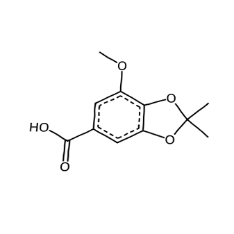 COc1cc(C(=O)O)cc2c1OC(C)(C)O2